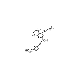 CCOCCOc1cc(C(O)C#Cc2ccc(C(=O)O)s2)cc2c1C(C)(C)CCC2(C)C